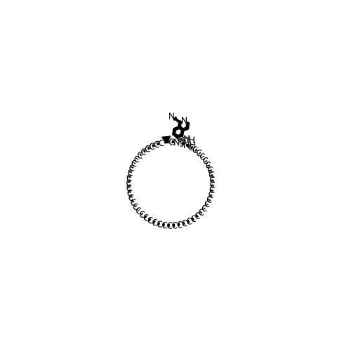 N#Cc1nccc2cc(N3CC4(CCCCCCCCCCCCCCCCCCCCCCCCCCCCCCCCCCCCCCCCCCCCCCCNS3(O)O)CC4)ccc12